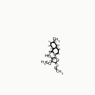 COC[C@H]1O[C@@H](n2ccc3cc(C)ccc3c2=S)[C@@H](O)C1OC